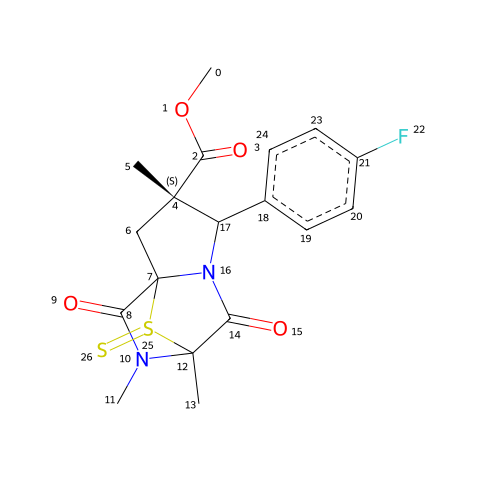 COC(=O)[C@@]1(C)CC23C(=O)N(C)C(C)(C(=O)N2C1c1ccc(F)cc1)S3=S